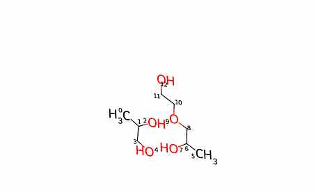 CC(O)CO.CC(O)COCCO